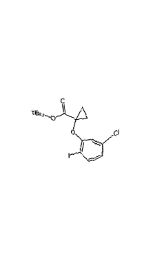 CC(C)(C)OC(=O)C1(Oc2cc(Cl)ccc2I)CC1